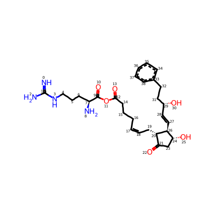 N=C(N)NCCC[C@H](N)C(=O)OC(=O)CCC/C=C\C[C@H]1C(=O)C[C@@H](O)[C@@H]1/C=C/[C@@H](O)CCc1ccccc1